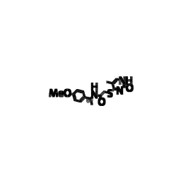 COc1ccc([C@H](C)NC(=O)CSc2nc(=O)[nH]cc2C)cc1